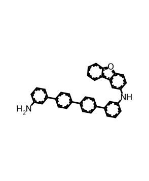 Nc1cccc(-c2ccc(-c3ccc(-c4cccc(Nc5ccc6oc7ccccc7c6c5)c4)cc3)cc2)c1